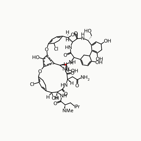 CN[C@H](CC(C)C)C(=O)N[C@H]1C(=O)N[C@@H](CC(N)=O)C(=O)N[C@H]2/C(=N/O)N[C@H]3C(=O)N[C@H](C(=O)N[C@H](CO)C4=CC(O)CC(O)=C4C4CC3=CC=C4O)[C@H](O)C3=CC=C(Oc4cc2cc(c4O)OC2=C(Cl)C=C(CC2)[C@H]1O)C(Cl)C3